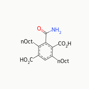 CCCCCCCCc1cc(C(=O)O)c(CCCCCCCC)c(C(N)=O)c1C(=O)O